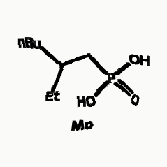 CCCCC(CC)CP(=O)(O)O.[Mo]